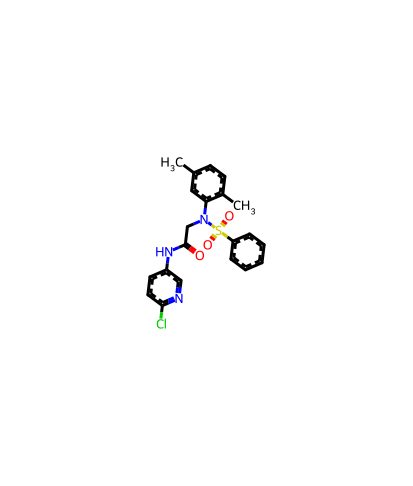 Cc1ccc(C)c(N(CC(=O)Nc2ccc(Cl)nc2)S(=O)(=O)c2ccccc2)c1